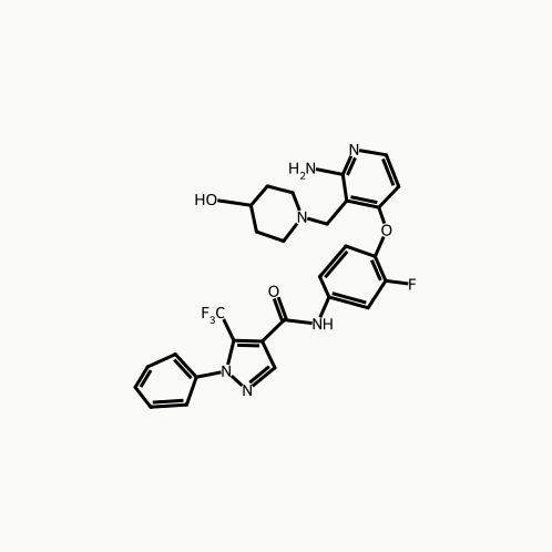 Nc1nccc(Oc2ccc(NC(=O)c3cnn(-c4ccccc4)c3C(F)(F)F)cc2F)c1CN1CCC(O)CC1